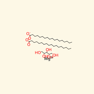 CCCCCCCCCCCCCCCCCC(=O)[O-].CCCCCCCCCCCCCCCCCC(=O)[O-].OC[C@@H](O)[C@H](O)[C@@H](O)CO.[Mg+2]